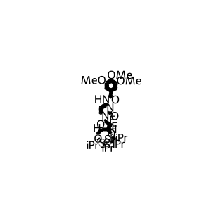 COc1cc(C(=O)Nc2ccn([C@@H]3O[C@@H]4CO[Si](C(C)C)(C(C)C)O[Si](C(C)C)(C(C)C)O[C@@H]4C3(F)F)c(=O)n2)cc(OC)c1OC